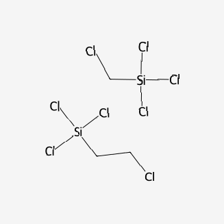 ClCC[Si](Cl)(Cl)Cl.ClC[Si](Cl)(Cl)Cl